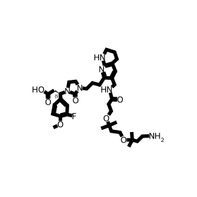 COc1ccc([C@H](CC(=O)O)N2CCN(CCCc3nc4c(cc3CNC(=O)CCOC(C)(C)CCOC(C)(C)CCN)CCCN4)C2=O)cc1F